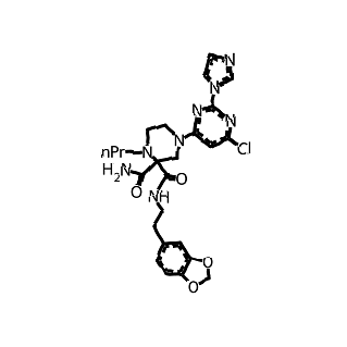 CCCN1CCN(c2cc(Cl)nc(-n3ccnc3)n2)CC1(C(N)=O)C(=O)NCCc1ccc2c(c1)OCO2